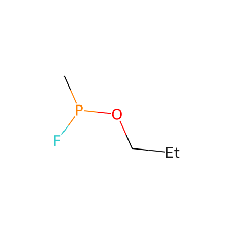 CCCOP(C)F